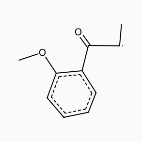 C[CH]C(=O)c1ccccc1OC